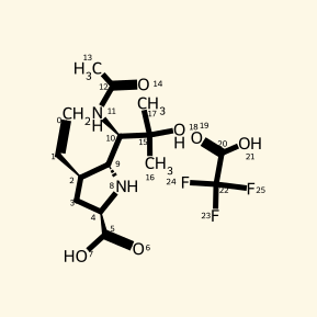 C=C[C@@H]1C[C@H](C(=O)O)N[C@H]1[C@@H](NC(C)=O)C(C)(C)O.O=C(O)C(F)(F)F